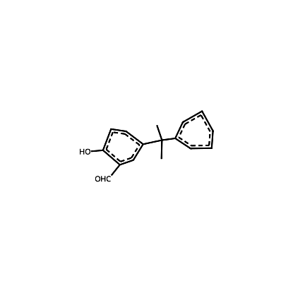 CC(C)(c1ccccc1)c1ccc(O)c(C=O)c1